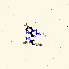 CCCCC(C)(CNC)Nc1nc(N)nc2cc(CC)cnc12